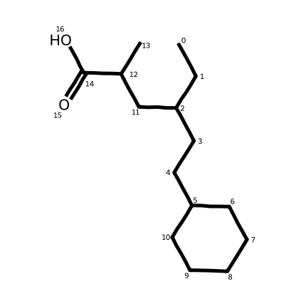 CCC(CCC1CCCCC1)CC(C)C(=O)O